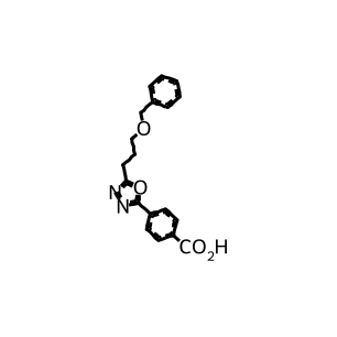 O=C(O)c1ccc(-c2nnc(CCCOCc3ccccc3)o2)cc1